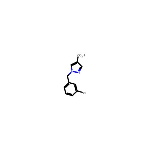 CCc1cccc(Cn2cc(C(=O)O)cn2)c1